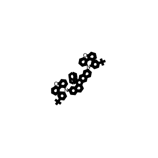 CC(C)(C)c1ccc(N(c2ccc3cc4c(cc3c2)C2(c3c-4ccc4ccc(N(c5ccc(C(C)(C)C)cc5)c5cccc6oc7ccccc7c56)cc34)C3CC4CC(C3)CC2C4)c2cccc3oc4ccccc4c23)cc1